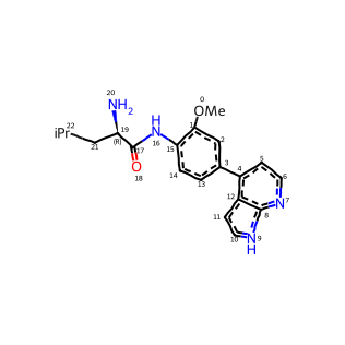 COc1cc(-c2ccnc3[nH]ccc23)ccc1NC(=O)[C@H](N)CC(C)C